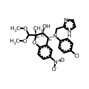 COC(OC)[C@@]1(C)Oc2ccc([N+](=O)[O-])cc2[C@@H](N(Cc2ncc[nH]2)c2ccc(Cl)cc2)[C@@H]1O